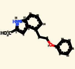 O=C(O)c1cc2c(CCOc3ccccc3)cccc2[nH]1